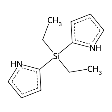 CC[Si](CC)(c1ccc[nH]1)c1ccc[nH]1